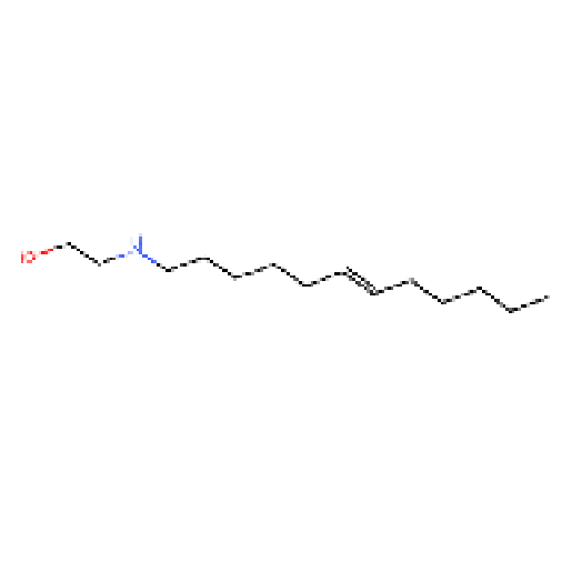 CCCCCC=CCCCCCNCCO